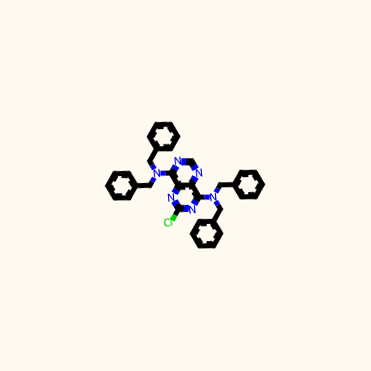 Clc1nc(N(Cc2ccccc2)Cc2ccccc2)c2ncnc(N(Cc3ccccc3)Cc3ccccc3)c2n1